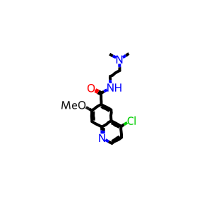 COc1cc2nccc(Cl)c2cc1C(=O)NCCN(C)C